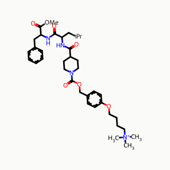 COC(=O)C(Cc1ccccc1)NC(=O)C(CC(C)C)NC(=O)C1CCN(C(=O)OCc2ccc(OCCCC[N+](C)(C)C)cc2)CC1